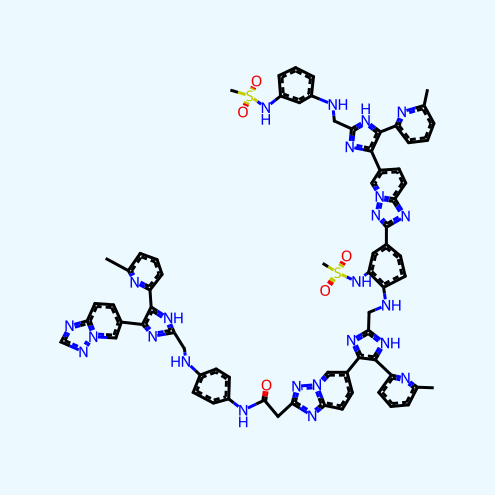 Cc1cccc(-c2[nH]c(CNc3ccc(NC(=O)Cc4nc5ccc(-c6nc(CNc7ccc(-c8nc9ccc(-c%10nc(CNc%11cccc(NS(C)(=O)=O)c%11)[nH]c%10-c%10cccc(C)n%10)cn9n8)cc7NS(C)(=O)=O)[nH]c6-c6cccc(C)n6)cn5n4)cc3)nc2-c2ccc3ncnn3c2)n1